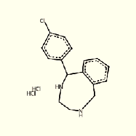 Cl.Cl.Clc1ccc(C2NCCNCc3ccccc32)cc1